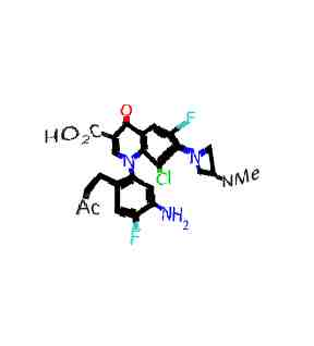 CNC1CN(c2c(F)cc3c(=O)c(C(=O)O)cn(-c4cc(N)c(F)cc4CCC(C)=O)c3c2Cl)C1